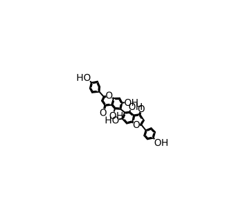 O=c1cc(-c2ccc(O)cc2)oc2cc(O)c(-c3c(O)cc4oc(-c5ccc(O)cc5)cc(=O)c4c3O)c(O)c12